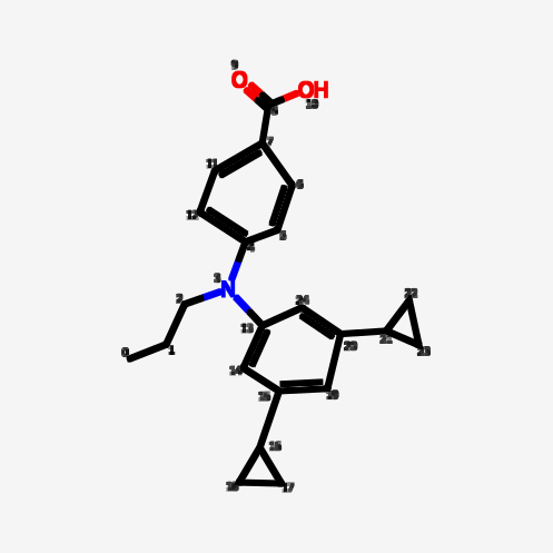 CCCN(c1ccc(C(=O)O)cc1)c1cc(C2CC2)cc(C2CC2)c1